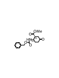 COC(=O)[C@H]1CC(=O)CC[C@H]1NC(=O)OCc1ccccc1